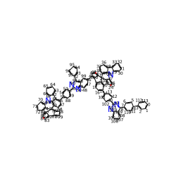 c1ccc(-c2ccc(-c3nc(-c4ccc(-c5ccc6c(c5)C5(c7ccccc7-n7c8ccccc8c8cccc5c87)c5cccc(-c7ccc8nc(-c9ccc(-c%10ccc%11c%12c%10c%10ccccc%10n%12-c%10ccccc%10C%11%10c%11ccccc%11-c%11ccccc%11%10)cc9)nc(-c9ccccc9)c8c7)c5-6)cc4)nc4ccccc34)cc2)cc1